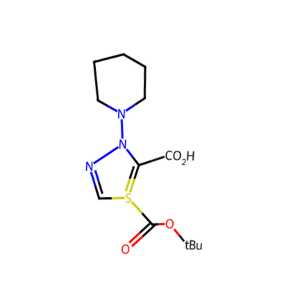 CC(C)(C)OC(=O)S1=C(C(=O)O)N(N2CCCCC2)N=C1